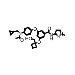 CC(=O)N(CC1CC1)c1ccc(Oc2cc(OC3(CO)CCC3)cc(C(=O)Nc3ccn(C)n3)c2)cc1